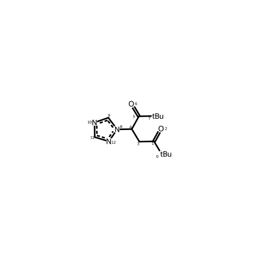 CC(C)(C)C(=O)CC(C(=O)C(C)(C)C)n1cncn1